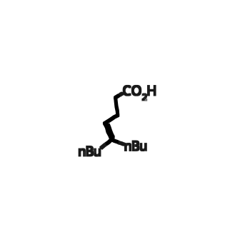 CCCCC(=CCCC(=O)O)CCCC